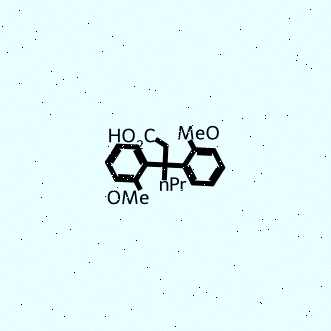 CCCC(CC(=O)O)(c1ccccc1OC)c1ccccc1OC